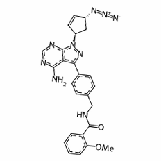 COc1ccccc1C(=O)NCc1ccc(-c2nn([C@H]3C=C[C@H](N=[N+]=[N-])C3)c3ncnc(N)c23)cc1